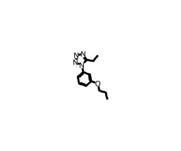 CCCOc1cccc(-n2nnnc2CC)c1